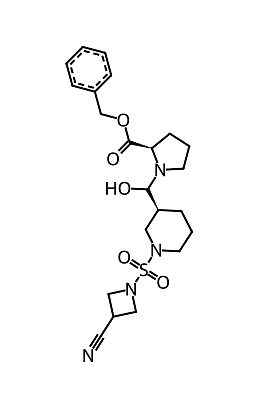 N#CC1CN(S(=O)(=O)N2CCC[C@H](C(O)N3CCC[C@@H]3C(=O)OCc3ccccc3)C2)C1